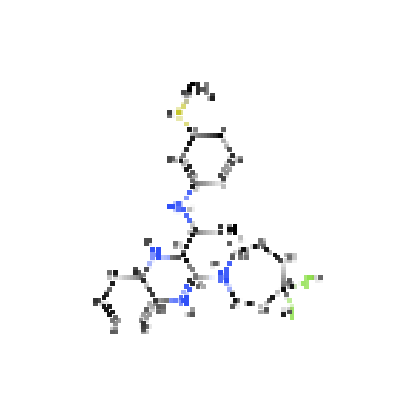 C=C(Nc1cccc(SC)c1)c1nc2ccccc2nc1N1CCCC(F)(F)CC1